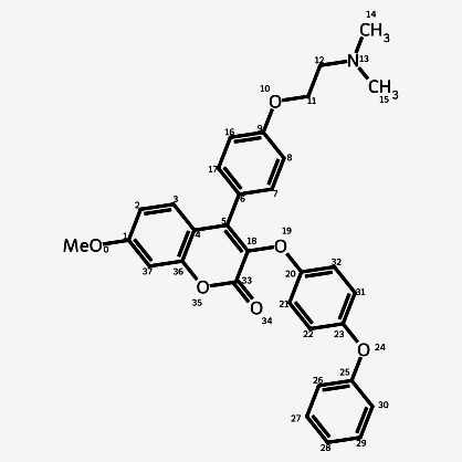 COc1ccc2c(-c3ccc(OCCN(C)C)cc3)c(Oc3ccc(Oc4ccccc4)cc3)c(=O)oc2c1